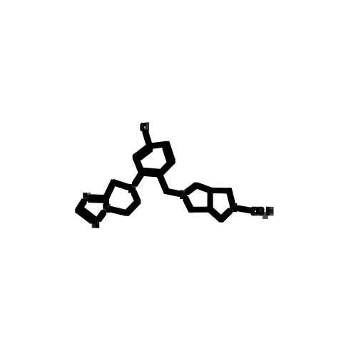 O=C(O)N1CC2CN(Cc3ccc(Cl)cc3N3CCn4ncnc4C3)CC2C1